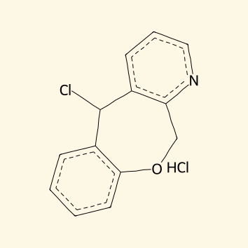 Cl.ClC1c2ccccc2OCc2ncccc21